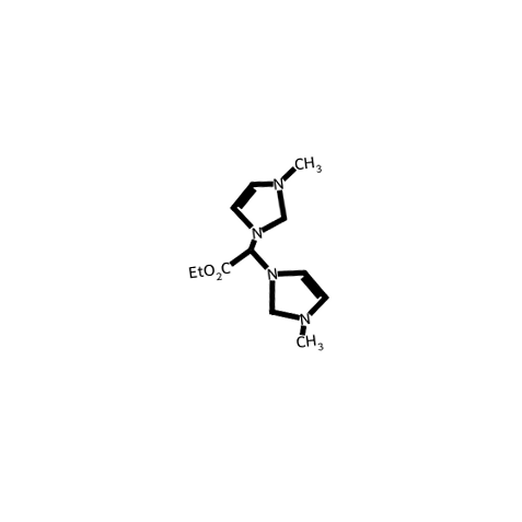 CCOC(=O)C(N1C=CN(C)C1)N1C=CN(C)C1